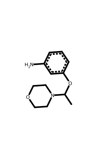 CC(Oc1cccc(N)c1)N1CCOCC1